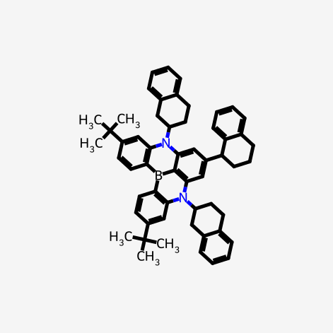 CC(C)(C)c1ccc2c(c1)N(C1CCc3ccccc3C1)c1cc(C3CCCc4ccccc43)cc3c1B2c1ccc(C(C)(C)C)cc1N3C1CCc2ccccc2C1